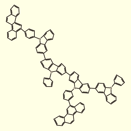 c1ccc(-n2c3ccccc3c3cc(-c4ccc5c(c4)c4ccc(-c6ccc7c8cc(-c9ccc%10c(c9)c9ccccc9n%10-c9ccc(-c%10cc%11c%12ccccc%12ccc%11c%11ccccc%10%11)cc9)ccc8n(-c8ccccc8)c7c6)cc4n5-c4cccc(-c5cc6c7ccccc7ccc6c6ccccc56)c4)ccc32)cc1